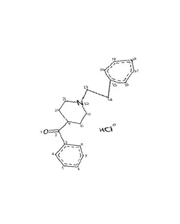 Cl.O=C(c1ccccc1)C1CCN(CCc2ccccc2)CC1